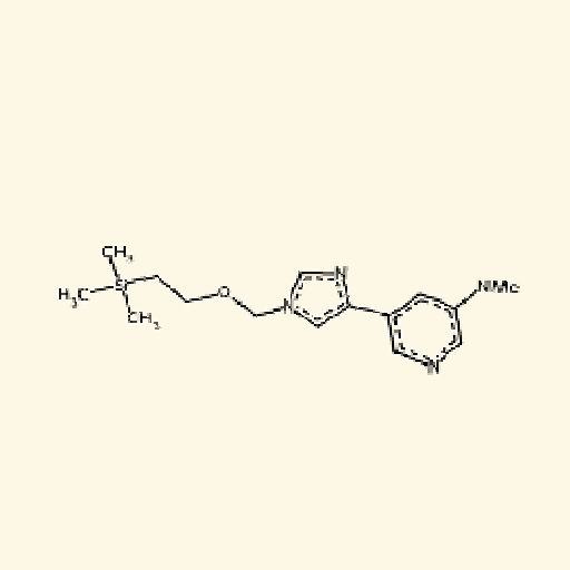 CNc1cncc(-c2cn(COCC[Si](C)(C)C)cn2)c1